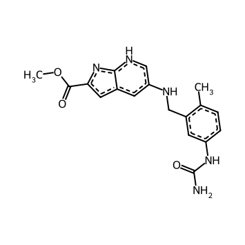 COC(=O)c1cc2cc(NCc3cc(NC(N)=O)ccc3C)c[nH]c-2n1